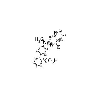 CN(c1ccc(-c2ccccc2C(=O)O)cc1)c1nc(=O)c2cccnc2s1